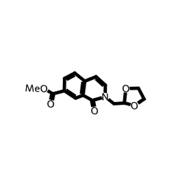 COC(=O)c1ccc2ccn(CC3OCCO3)c(=O)c2c1